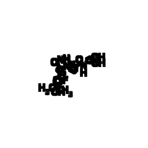 CC(C)(O)c1ccc(-c2cc(C(N)=O)c(Nc3cccc(C(=O)NC4CCS(O)(O)C4)n3)s2)c(F)c1